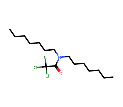 CCCCCCCN(CCCCCCC)C(=O)C(Cl)(Cl)Cl